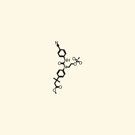 COC(=O)CC(C)(C)c1ccc(N(CCOS(C)(=O)=O)C(=O)Nc2ccc(C#N)cc2)cc1